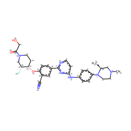 C[C@H]1CN(C)CCN1c1ccc(Nc2ccnc(-c3ccc(O[C@H]4CCN(C(=O)CO)C[C@H]4F)c(C#N)c3)n2)cc1